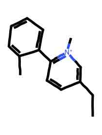 CCc1ccc(-c2ccccc2C)[n+](C)c1